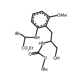 CCOC(=O)C(Nc1cccc(OC)c1CC(CO)NC(=O)OC(C)(C)C)C(C)CC